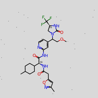 COCC(c1ccnc(NC(=O)[C@@H](NC(=O)Cc2cc(C)no2)C2CCC(C)CC2)c1)N1C[C@@H](C(F)(F)F)NC1=O